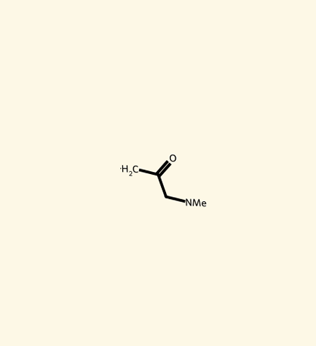 [CH2]C(=O)CNC